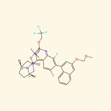 COCOc1cc(-c2c(I)cc3c(N4C[C@H]5CC[C@@H](C4)N5C(=O)OC(C)(C)C)nc(OCC(F)(F)F)nc3c2F)c2ccccc2c1